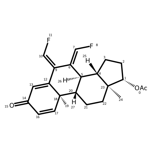 CC(=O)O[C@H]1CC[C@H]2[C@@H]3C(=C\F)/C(=C\F)C4=CC(=O)C=C[C@]4(C)[C@H]3CC[C@]12C